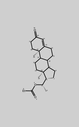 CCC(=O)O[C@@H](C)[C@H]1CCC2C3CCC4=CC(=O)CC[C@]4(C)C3CC[C@@]21C